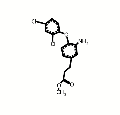 COC(=O)CCc1ccc(Oc2ccc(Cl)cc2Cl)c(N)c1